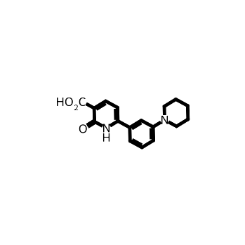 O=C(O)c1ccc(-c2cccc(N3CCCCC3)c2)[nH]c1=O